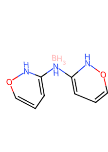 B.C1=CONC(NC2=CC=CON2)=C1